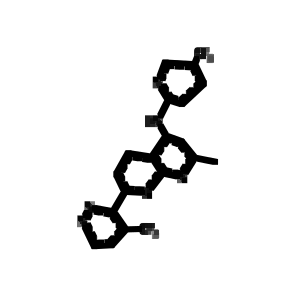 Cc1cc(Nc2ccc(C(F)(F)F)cn2)c2ccc(-c3nnccc3C(F)(F)F)nc2n1